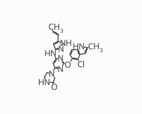 C/C=C/c1cc(Nc2cc(N3CCNC(=O)C3)nc(Oc3ccc4[nH]c(C)cc4c3Cl)n2)n[nH]1